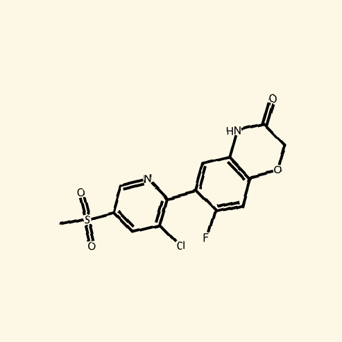 CS(=O)(=O)c1cnc(-c2cc3c(cc2F)OCC(=O)N3)c(Cl)c1